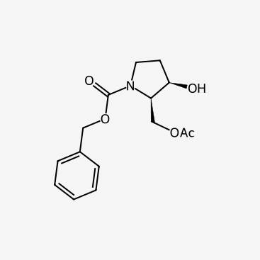 CC(=O)OC[C@@H]1[C@H](O)CCN1C(=O)OCc1ccccc1